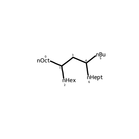 CCCCCCCCC(CCCCCC)CC(CCCC)CCCCCCC